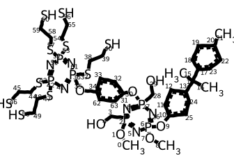 COP1(CO)=NP(OC)(Oc2ccc(C(C)(C)c3ccc(C)cc3)cc2)=NP(CO)(Oc2ccc(OP3(SCCS)=NP(SCCS)(SCCS)=NP(SCCS)(SCCS)=N3)cc2)=N1